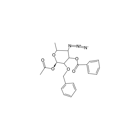 CC(=O)O[C@H]1OC(C)C(N=[N+]=[N-])C(OC(=O)c2ccccc2)C1OCc1ccccc1